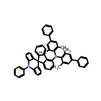 Cc1cc(-c2ccccc2)cc(C)c1B(c1cccc2c1-c1ccccc1C21c2ccccc2N(c2ccccc2)c2ccccc21)c1c(C)cc(-c2ccccc2)cc1C